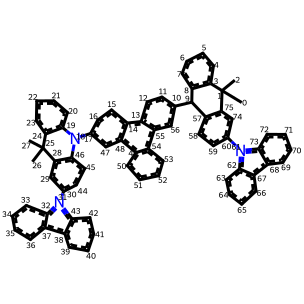 CC1(C)c2ccccc2C(c2ccc3c4ccc(N5c6ccccc6C(C)(C)c6cc(-n7c8ccccc8c8ccccc87)ccc65)cc4c4ccccc4c3c2)c2ccc(-n3c4ccccc4c4ccccc43)cc21